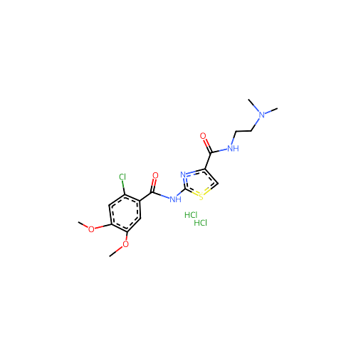 COc1cc(Cl)c(C(=O)Nc2nc(C(=O)NCCN(C)C)cs2)cc1OC.Cl.Cl